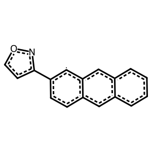 [c]1c(-c2ccon2)ccc2cc3ccccc3cc12